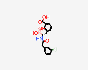 O=C(Cc1cccc(Cl)c1)N[C@@H](Cc1cccc(C(=O)O)c1)B(O)O